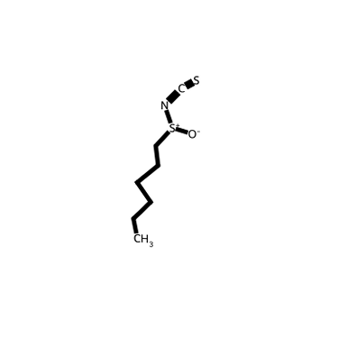 CCCCCC[S+]([O-])N=C=S